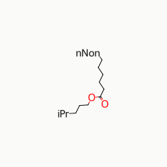 CCCCCCCCCCCCCCC(=O)OCCCC(C)C